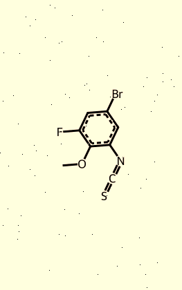 COc1c(F)cc(Br)cc1N=C=S